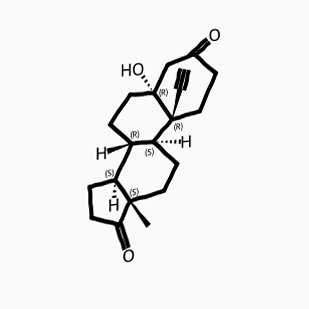 C#C[C@]12CCC(=O)C[C@]1(O)CC[C@H]1[C@@H]3CCC(=O)[C@@]3(C)CC[C@@H]12